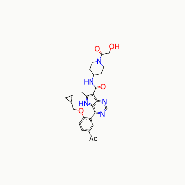 CC(=O)c1ccc(OCC2CC2)c(-c2ncnc3c(C(=O)NC4CCN(C(=O)CO)CC4)c(C)[nH]c23)c1